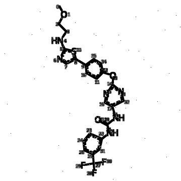 COCCNc1ncc(-c2ccc(Oc3ncc(NC(=O)Nc4cccc(C(F)(F)F)c4)cn3)cc2)s1